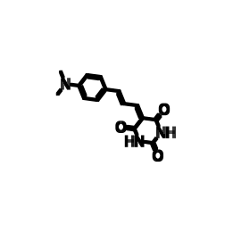 CN(C)c1ccc(/C=C/C=C2C(=O)NC(=O)NC2=O)cc1